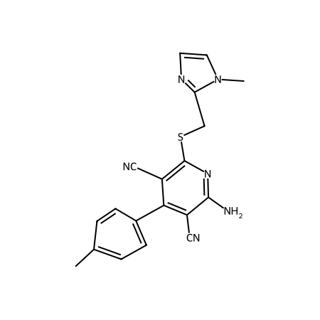 Cc1ccc(-c2c(C#N)c(N)nc(SCc3nccn3C)c2C#N)cc1